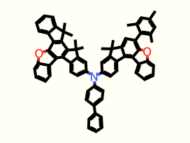 Cc1cc(C)c(-c2cc3c(c4c2oc2ccccc24)-c2ccc(N(c4ccc(-c5ccccc5)cc4)c4ccc5c(c4)C(C)(C)c4c6c(c7oc8ccccc8c7c4-5)-c4ccccc4C6(C)C)cc2C3(C)C)c(C)c1